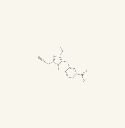 CC(C)c1nc(CC#N)n(C)c1Sc1cccc([N+](=O)[O-])c1